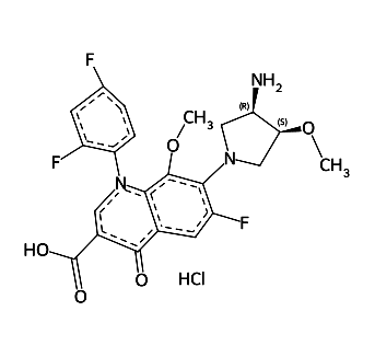 COc1c(N2C[C@@H](N)[C@@H](OC)C2)c(F)cc2c(=O)c(C(=O)O)cn(-c3ccc(F)cc3F)c12.Cl